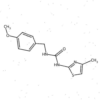 COc1ccc(CNC(=O)Nc2nc(C)cs2)cc1